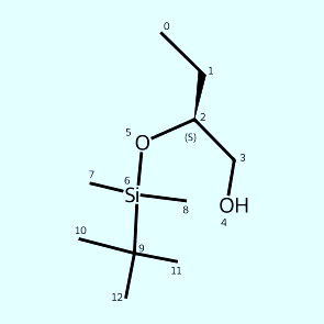 CC[C@@H](CO)O[Si](C)(C)C(C)(C)C